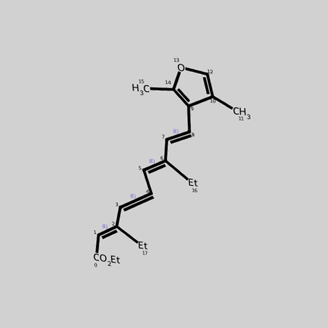 CCOC(=O)/C=C(/C=C/C=C(/C=C/c1c(C)coc1C)CC)CC